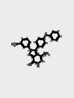 Nc1cccc(-n2nc3c(=O)[nH]nc(N)c3c2-c2ccc(Oc3ccccc3)cc2)c1